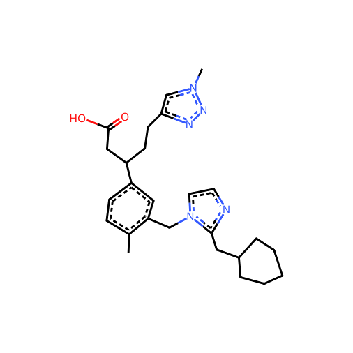 Cc1ccc(C(CCc2cn(C)nn2)CC(=O)O)cc1Cn1ccnc1CC1CCCCC1